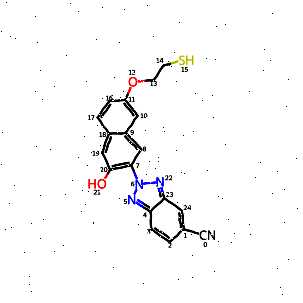 N#Cc1ccc2nn(-c3cc4cc(OCCS)ccc4cc3O)nc2c1